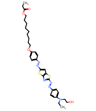 CCC(=O)OCCCCCCCCCOc1ccc(N=Nc2cc3sc(N=Nc4ccc(N(CC)CCO)cc4)nc3s2)cc1